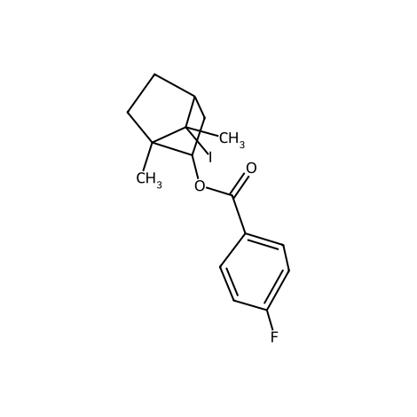 CC1(I)C2CCC1(C)C(OC(=O)c1ccc(F)cc1)C2